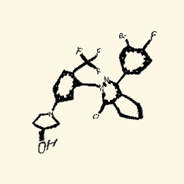 O=c1c2c(c(-c3ccc(F)c(Br)c3)nn1-c1cc(N3CC[C@H](O)C3)ccc1C(F)(F)F)CCC2